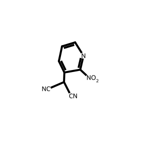 N#CC(C#N)c1cccnc1[N+](=O)[O-]